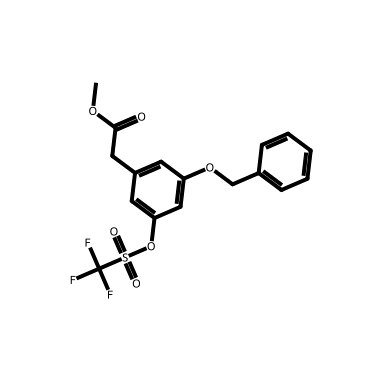 COC(=O)Cc1cc(OCc2ccccc2)cc(OS(=O)(=O)C(F)(F)F)c1